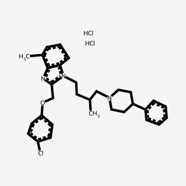 Cc1cccc2c1nc(COc1ccc(Cl)cc1)n2CCC(C)CN1CCC(c2ccccc2)CC1.Cl.Cl